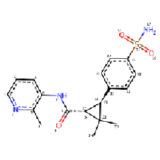 Cc1ncccc1NC(=O)[C@@H]1[C@@H](c2ccc(S(N)(=O)=O)cc2)C1(C)C